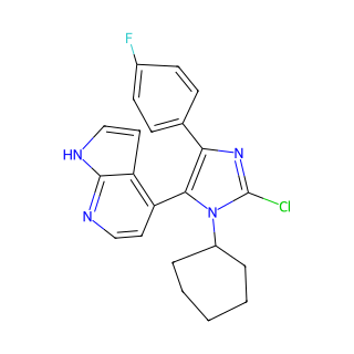 Fc1ccc(-c2nc(Cl)n(C3CCCCC3)c2-c2ccnc3[nH]ccc23)cc1